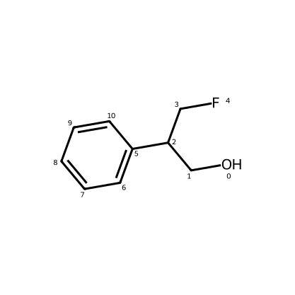 OCC(CF)c1ccccc1